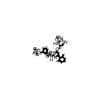 Cc1cccc(C)c1-c1cc(OC[C@@H](CC(C)C)NC(=O)OC(C)(C)C)nc(NS(=O)(=O)c2cccc(COS(C)(=O)=O)c2)n1